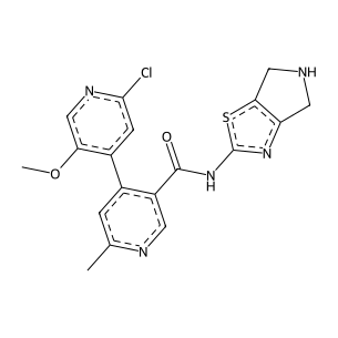 COc1cnc(Cl)cc1-c1cc(C)ncc1C(=O)Nc1nc2c(s1)CNC2